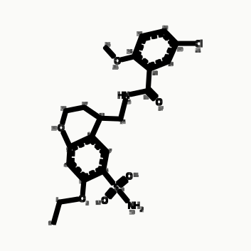 CCOc1cc2c(cc1S(N)(=O)=O)C(CNC(=O)c1cc(Cl)ccc1OC)CCO2